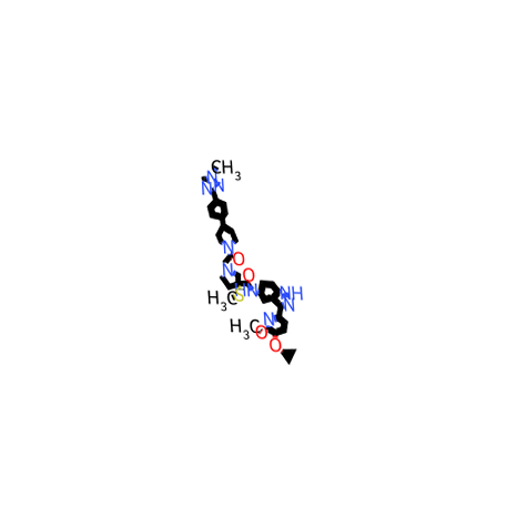 COc1nc(-c2n[nH]c3ccc(NC(=O)C4(SC)CCN(CC(=O)N5CC=C(c6ccc(-c7ncn(C)n7)cc6)CC5)C4)cc23)ccc1OC1CC1